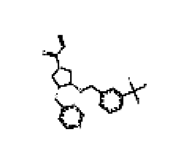 C=CC(=O)N1C[C@@H](Cc2ccncn2)[C@H](OCc2cccc(C(F)(F)F)c2)C1